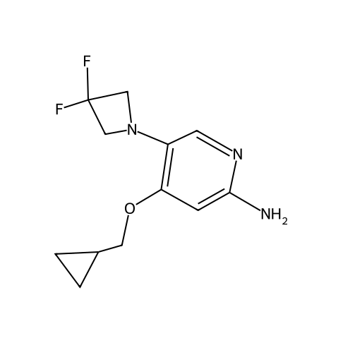 Nc1cc(OCC2CC2)c(N2CC(F)(F)C2)cn1